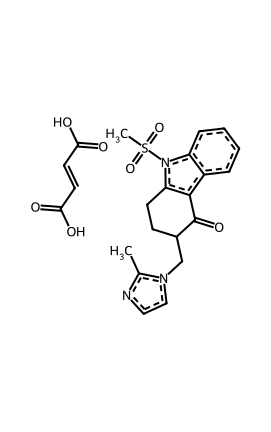 Cc1nccn1CC1CCc2c(c3ccccc3n2S(C)(=O)=O)C1=O.O=C(O)C=CC(=O)O